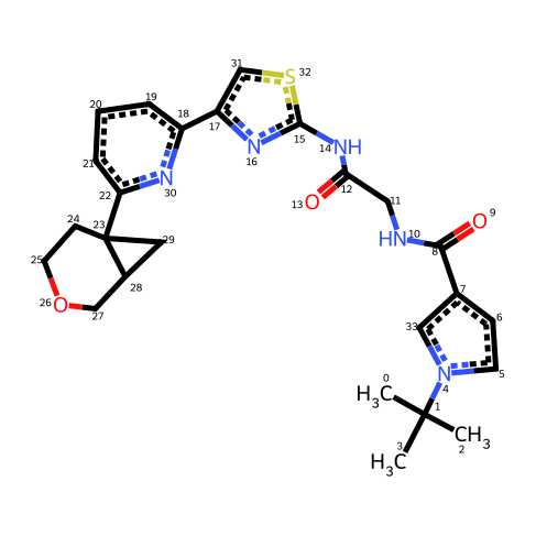 CC(C)(C)n1ccc(C(=O)NCC(=O)Nc2nc(-c3cccc(C45CCOCC4C5)n3)cs2)c1